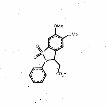 COc1cc2c(cc1OC)S(=O)(=O)N(c1ccccc1)C2CC(=O)O